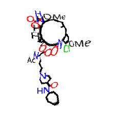 COc1cc2cc(c1Cl)N(C)C(=O)C[C@H](OC(=O)[C@H](CCCCN1CCC(C(=O)NC3CCCCCC3)CC1)N(C)C(C)=O)[C@]1(C)C[C@H]1[C@H](C)[C@@H]1C[C@@H](NC(=O)O1)[C@H](OC)/C=C/C=C(\C)C2